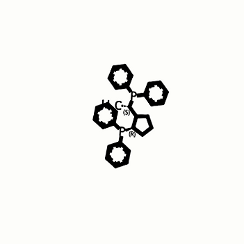 C[C@@H](C1CCC[C@H]1P(c1ccccc1)c1ccccc1)P(c1ccccc1)c1ccccc1